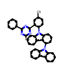 CC(C)(C)c1nc(-c2ccccc2)nc(-c2cc(C#N)ccc2-n2c3ccccc3c3c(-n4c5ccccc5c5ccccc54)cccc32)n1